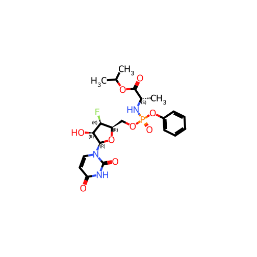 CC(C)OC(=O)[C@H](C)NP(=O)(OC[C@H]1O[C@@H](n2ccc(=O)[nH]c2=O)[C@@H](O)[C@H]1F)Oc1ccccc1